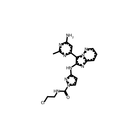 Cc1nc(N)cc(-c2c(Nc3ccn(C(=O)NCCCl)n3)nc3cccnn23)n1